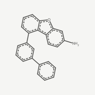 Nc1ccc2c(c1)oc1cccc(-c3cccc(-c4ccccc4)c3)c12